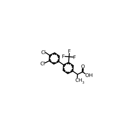 CC(C(=O)O)c1ccc(-c2ccc(Cl)c(Cl)c2)c(C(F)(F)F)c1